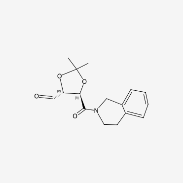 CC1(C)O[C@@H](C=O)[C@H](C(=O)N2CCc3ccccc3C2)O1